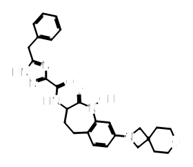 CN1C(=O)C(NC(=O)c2n[nH]c(Cc3ccccc3)n2)CCc2ccc(N3CC4(CCOCC4)C3)cc21